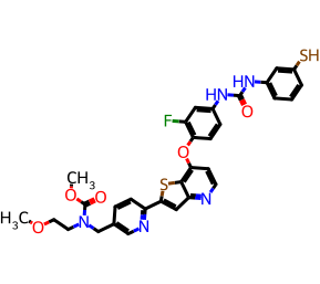 COCCN(Cc1ccc(-c2cc3nccc(Oc4ccc(NC(=O)Nc5cccc(S)c5)cc4F)c3s2)nc1)C(=O)OC